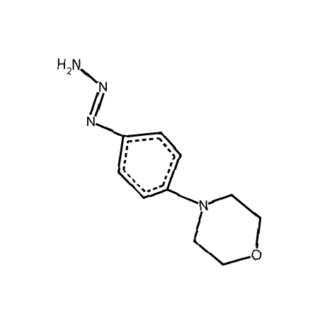 NN=Nc1ccc(N2CCOCC2)cc1